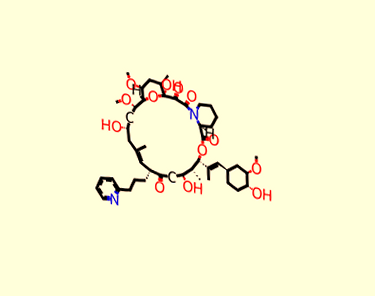 CO[C@H]1C[C@@H](O)C/C(C)=C/[C@@H](CCCc2ccccn2)C(=O)C[C@H](O)[C@@H](C)[C@@H](/C(C)=C/[C@@H]2CC[C@@H](O)[C@H](OC)C2)OC(=O)[C@@H]2CCCCN2C(=O)C(=O)[C@]2(O)O[C@H]1[C@@H](OC)C[C@H]2C